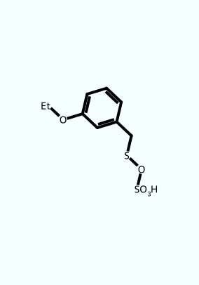 CCOc1cccc(CSOS(=O)(=O)O)c1